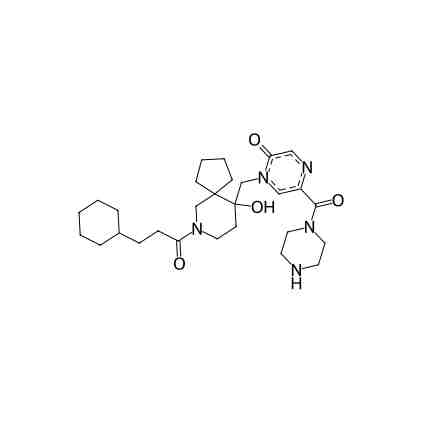 O=C(CCC1CCCCC1)N1CCC(O)(Cn2cc(C(=O)N3CCNCC3)ncc2=O)C2(CCCC2)C1